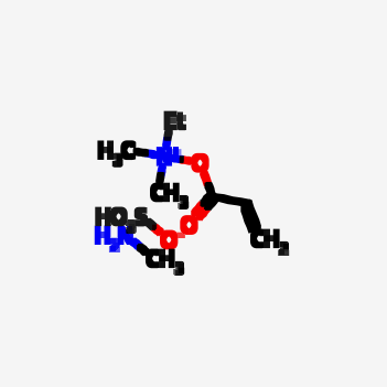 C=CC(=O)O[N+](C)(C)CC.CN.O=S(=O)([O-])O